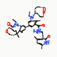 CCN(C=O)c1cc(-c2cc(C(=O)NCc3c(C)cc(C)[nH]c3=O)c(C)c(N(CC)C3CCOCC3)c2)ccc1C1(C)CCOCC1